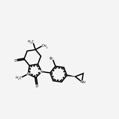 Cn1c2c(n(-c3ccc([C@H]4CN4)cc3Br)c1=O)CC(C)(C)CC2=O